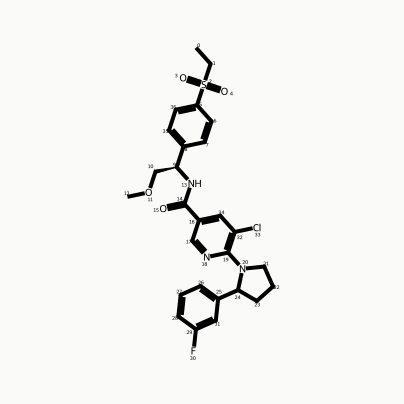 CCS(=O)(=O)c1ccc([C@H](COC)NC(=O)c2cnc(N3CCCC3c3cccc(F)c3)c(Cl)c2)cc1